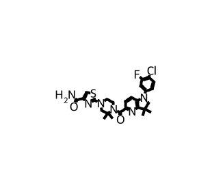 CC1(C)CN(c2ccc(Cl)c(F)c2)c2ccc(C(=O)N3CCN(c4nc(C(N)=O)cs4)CC3(C)C)nc21